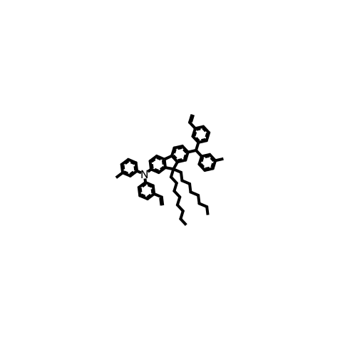 C=Cc1cccc(C(c2cccc(C)c2)c2ccc3c(c2)C(CCCCCCCC)(CCCCCCCC)c2cc(N(c4cccc(C)c4)c4cccc(C=C)c4)ccc2-3)c1